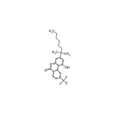 CCCCCCC(C)(C)c1cc(O)c2c(c1)oc(=O)c1ccc(C(F)(F)F)cc12